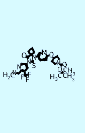 C=NCc1ncc(N2C(=O)C3(CCC3)N(c3ccc(OC4CCN(C(=O)OC(C)(C)C)CC4)nc3)C2=S)cc1C(F)(F)F